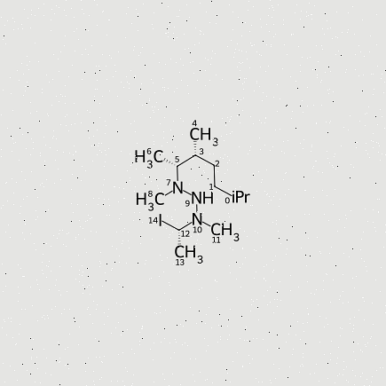 CC(C)CC[C@@H](C)[C@@H](C)N(C)NN(C)[C@H](C)I